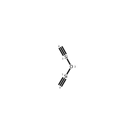 C#[Si]O[Si]#C